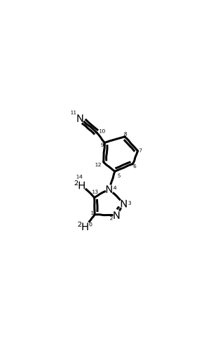 [2H]c1nnn(-c2cccc(C#N)c2)c1[2H]